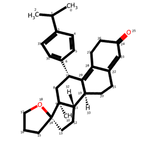 CC(C)c1ccc([C@H]2C[C@@]3(C)[C@@H](CC[C@@]34CCCO4)[C@@H]3CCC4=CC(=O)CCC4=C32)cc1